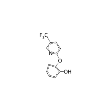 Oc1ccccc1Oc1ccc(C(F)(F)F)cn1